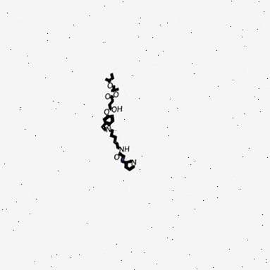 CCC(C)OCC(C)(C)OC(=O)CCC(O)Oc1ccc2c(ccn2CCCCCCNC(=O)/C=C/c2cccnc2)c1